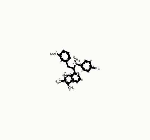 COc1cccc(CC(c2nccc3c(C)c(C)[nH]c23)N(C)c2ccc(F)cc2)c1